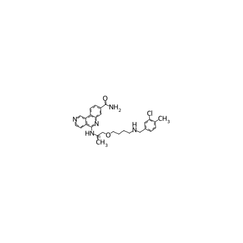 Cc1ccc(CNCCCCOC[C@@H](C)Nc2nc3cc(C(N)=O)ccc3c3cnccc23)cc1Cl